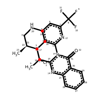 CC(C)Oc1ccc(C(F)(F)F)nc1-n1c(CN2CCNC[C@@H]2C)nc2ccccc2c1=O